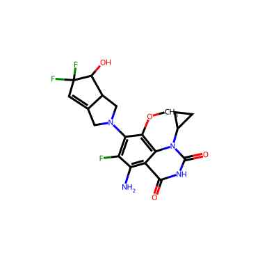 COc1c(N2CC3=CC(F)(F)C(O)C3C2)c(F)c(N)c2c(=O)[nH]c(=O)n(C3CC3)c12